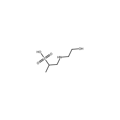 CC(CNCCO)S(=O)(=O)O